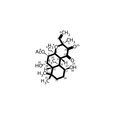 C=C[C@]1(C)O[C@]2(C)[C@@H](OC(C)=O)[C@@H](O)[C@H]3C(C)(C)CC[C@H](O)[C@]3(C)[C@H]2C(=O)C1=O